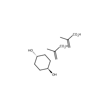 C=C(C)C(=O)O.C=C(C)C(=O)O.O[C@H]1CC[C@H](O)CC1